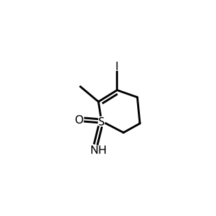 CC1=C(I)CCCS1(=N)=O